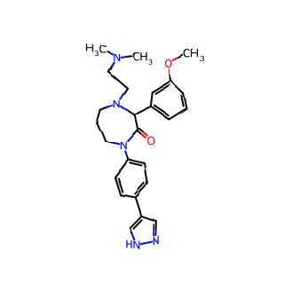 COc1cccc(C2C(=O)N(c3ccc(-c4cn[nH]c4)cc3)CCCN2CCN(C)C)c1